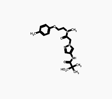 Cc1ccc(OCCN(C)C(=O)Cn2cc(NC(=O)C(C)(C)C(=O)O)cn2)cc1